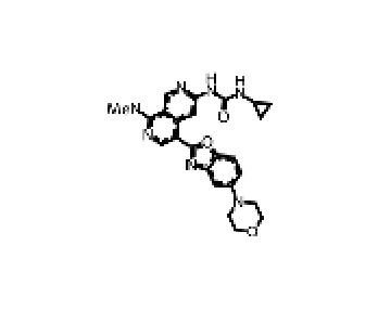 CNc1ncc(-c2nc3cc(N4CCOCC4)ccc3o2)c2cc(NC(=O)NC3CC3)ncc12